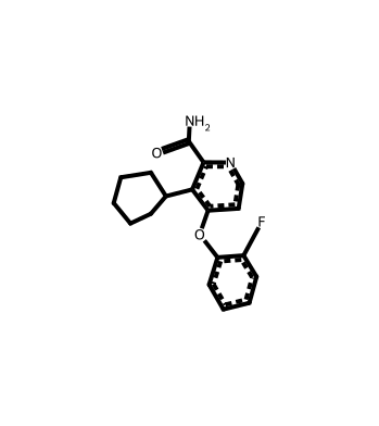 NC(=O)c1nccc(Oc2ccccc2F)c1C1CCCCC1